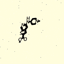 COC(=O)c1cc2cc(NC3CCN(C)CC3)ncc2s1